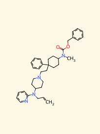 C=CCN(c1ccccn1)C1CCN(CCC2(c3ccccc3)CCC(N(C)C(=O)OCc3ccccc3)CC2)CC1